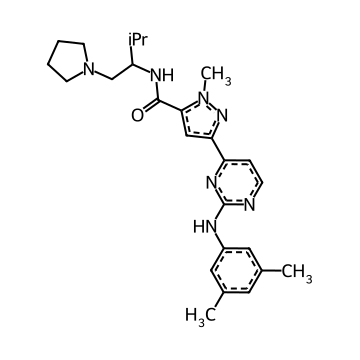 Cc1cc(C)cc(Nc2nccc(-c3cc(C(=O)NC(CN4CCCC4)C(C)C)n(C)n3)n2)c1